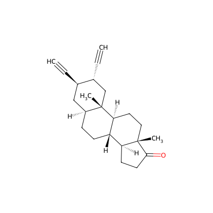 C#C[C@@H]1C[C@@H]2CC[C@@H]3[C@H](CC[C@]4(C)C(=O)CC[C@@H]34)[C@@]2(C)C[C@H]1C#C